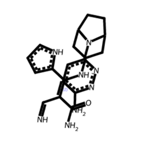 N=C/C(C(N)=O)=C(/NC1CC2CCC(C1)N2c1ccc(N)nn1)c1ccc[nH]1